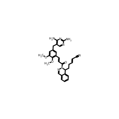 COc1cc(Cc2cnc(N)nc2N)cc(C=CC(=O)N2N=Cc3ccccc3C2CCC=CC#N)c1OC